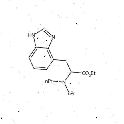 CCCN(CCC)C(Cc1cccc2[nH]cnc12)C(=O)OCC